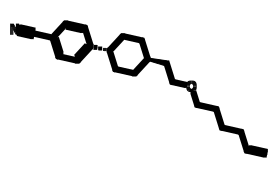 C=CCCCCOCC[C@H]1CC[C@H](c2ccc(C#N)cc2)CC1